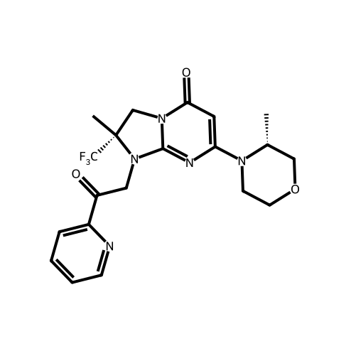 C[C@@H]1COCCN1c1cc(=O)n2c(n1)N(CC(=O)c1ccccn1)[C@](C)(C(F)(F)F)C2